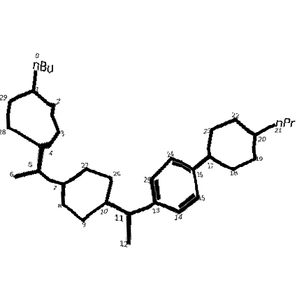 CCCCC1CCC(C(C)C2CCC(C(C)c3ccc(C4CCC(CCC)CC4)cc3)CC2)CC1